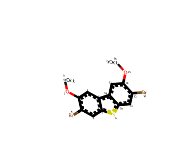 CCCCCCCCOc1cc2c(cc1Br)sc1cc(Br)c(OCCCCCCCC)cc12